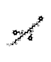 CCOC(=O)CNCCCCN(CCCCN(CCCCNC(=O)OCc1ccccc1)C(=O)OCc1ccccc1)C(=O)OCc1ccccc1